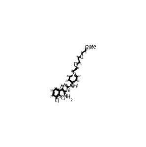 COCCOCCOCCN1CCC(Nc2nnc(-c3cccc(Cl)c3Cl)c(N)n2)CC1